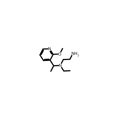 CCN(CCN)C(C)c1cccnc1OC